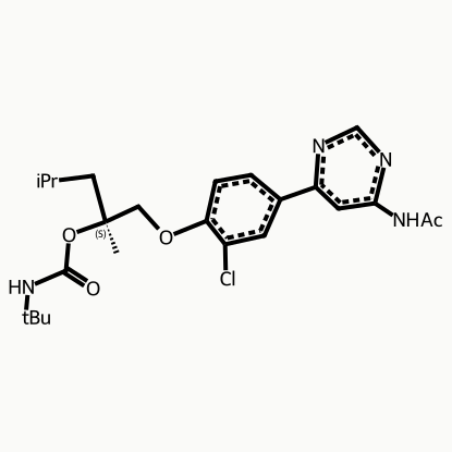 CC(=O)Nc1cc(-c2ccc(OC[C@](C)(CC(C)C)OC(=O)NC(C)(C)C)c(Cl)c2)ncn1